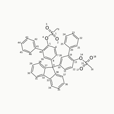 CS(=O)(=O)Oc1ccc(C2(c3ccc(OS(C)(=O)=O)c(-c4ccccc4)c3)c3ccccc3-c3ccccc32)cc1-c1ccccc1